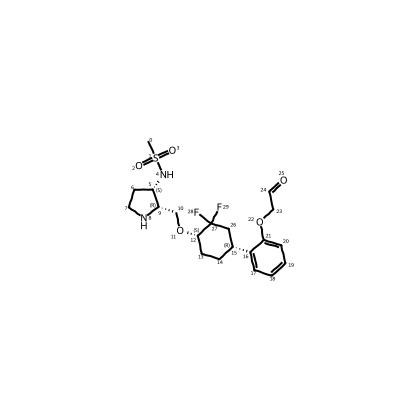 CS(=O)(=O)N[C@H]1CCN[C@H]1CO[C@H]1CC[C@@H](c2ccccc2OCC=O)CC1(F)F